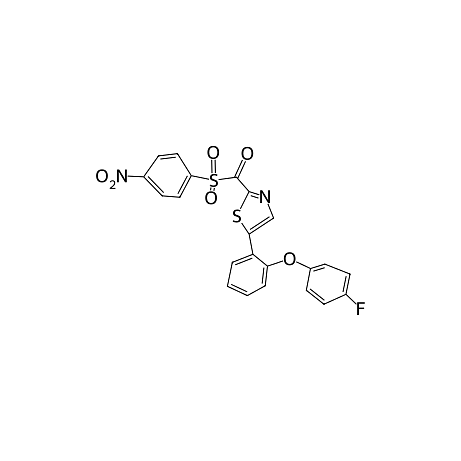 O=C(c1ncc(-c2ccccc2Oc2ccc(F)cc2)s1)S(=O)(=O)c1ccc([N+](=O)[O-])cc1